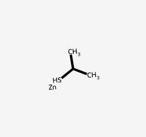 CC(C)S.[Zn]